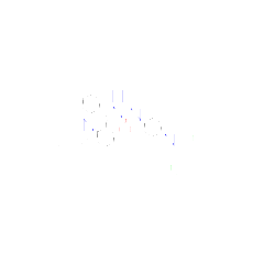 Cc1cccc2c(NC(=O)Nc3ccc(N(CCCl)CCCl)cc3)c3ccccc3nc12